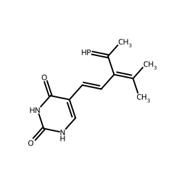 CC(=P)C(/C=C/c1c[nH]c(=O)[nH]c1=O)=C(C)C